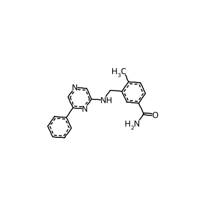 Cc1ccc(C(N)=O)cc1CNc1cncc(-c2ccccc2)n1